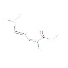 CCCCCCCCOC(=O)/C(C#N)=C\C=C\N(C)CC